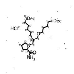 CCCCCCCCCCCCCCOC[C@@H](CN1CCCC1C(N)=O)OCCCCCCCCCCCCCC.Cl